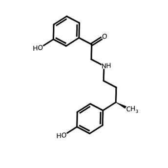 C[C@H](CCNCC(=O)c1cccc(O)c1)c1ccc(O)cc1